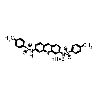 CCCCCCN(c1ccc2cc3ccc(NS(=O)(=O)c4ccc(C)cc4)cc3nc2c1)S(=O)(=O)c1ccc(C)cc1